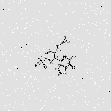 CCS(=O)(=O)c1ccc(OCC2CC2)c(-c2nn(C)c(=O)c3[nH]ccc23)c1